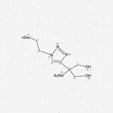 CCCCCCCCCCCCn1cc(C(CO)(CO)NC(C)=O)nn1